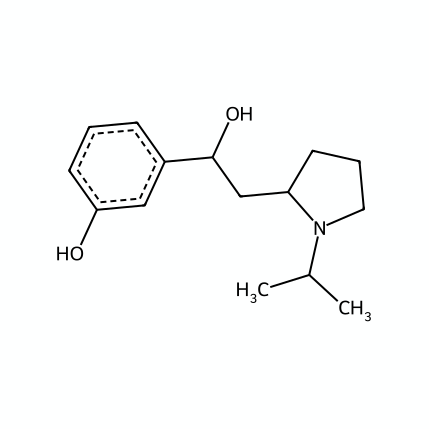 CC(C)N1CCCC1CC(O)c1cccc(O)c1